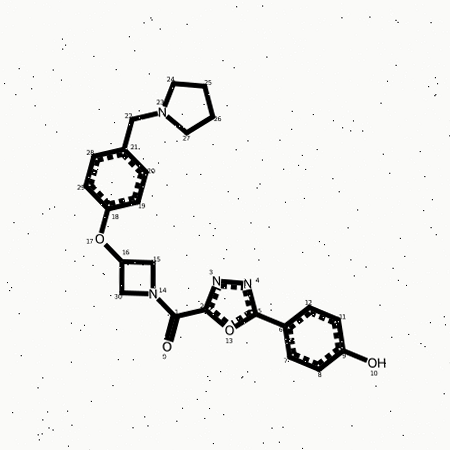 O=C(c1nnc(-c2ccc(O)cc2)o1)N1CC(Oc2ccc(CN3CCCC3)cc2)C1